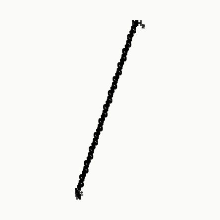 [N-]=[N+]=NCCOCCOCCOCCOCCOCCOCCOCCOCCOCCOCCOCCOCCOCCOCCOCCOCCOCCOCCOCCOCCOCCOCCOCCN